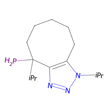 CC(C)n1nnc2c1CCCCCC2(P)C(C)C